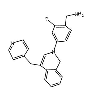 NCc1ccc(N2C=C(Cc3ccncc3)c3ccccc3C2)cc1F